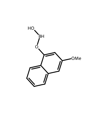 COc1cc(OBO)c2ccccc2c1